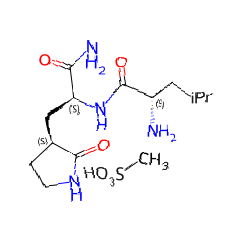 CC(C)C[C@H](N)C(=O)N[C@@H](C[C@@H]1CCNC1=O)C(N)=O.CS(=O)(=O)O